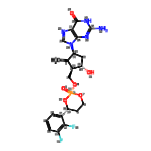 C=C1[C@H](CO[P@]2(=O)OCC[C@H](c3cccc(F)c3F)O2)[C@@H](O)C[C@@H]1n1cnc2c(=O)[nH]c(N)nc21